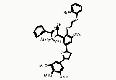 C#CC(c1cc(C2CCC(c3cc(OC)c(OC)c(OC)c3)O2)cc(OC)c1OCCSc1ccccc1Br)[N+](O)(OC)C(=O)c1ccccc1